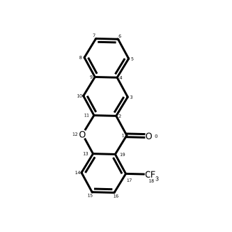 O=c1c2cc3ccccc3cc2oc2cccc(C(F)(F)F)c12